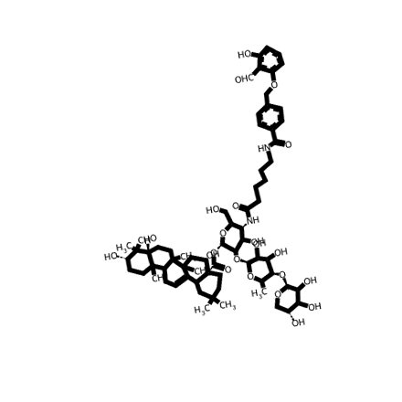 CC1O[C@@H](OC2C(O)[C@@H](NC(=O)CCCCCNC(=O)c3ccc(COc4cccc(O)c4C=O)cc3)C(CO)O[C@H]2OC(=O)[C@]23CCC(C)(C)CC2C2=CCC4C5(C)CC[C@H](O)C(C)(C=O)[C@@H]5CCC4(C)C2(C)C[C@H]3O)C(O)C(O)[C@H]1O[C@@H]1OC[C@@H](O)C(O)C1O